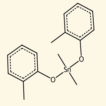 Cc1ccccc1[O][Sn]([CH3])([CH3])[O]c1ccccc1C